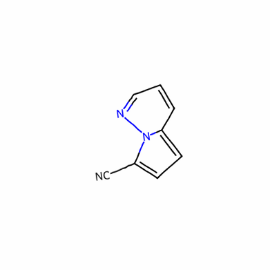 N#Cc1ccc2cccnn12